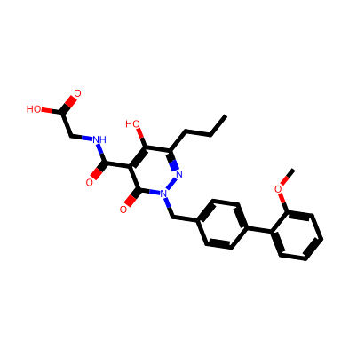 CCCc1nn(Cc2ccc(-c3ccccc3OC)cc2)c(=O)c(C(=O)NCC(=O)O)c1O